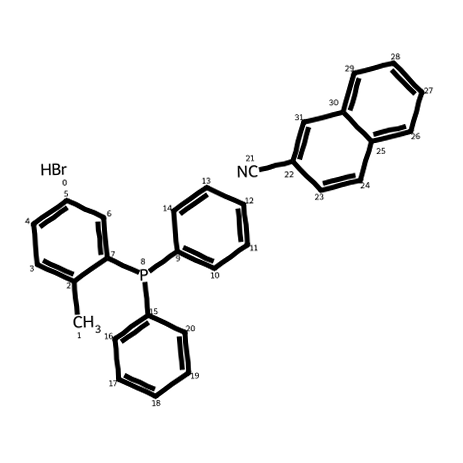 Br.Cc1ccccc1P(c1ccccc1)c1ccccc1.N#Cc1ccc2ccccc2c1